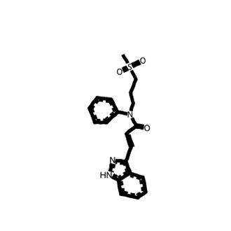 CS(=O)(=O)CCCN(C(=O)/C=C/c1n[nH]c2ccccc12)c1ccccc1